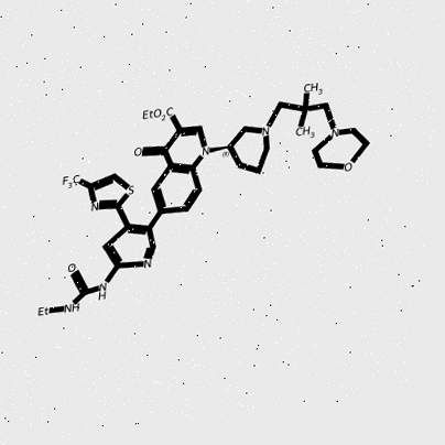 CCNC(=O)Nc1cc(-c2nc(C(F)(F)F)cs2)c(-c2ccc3c(c2)c(=O)c(C(=O)OCC)cn3[C@@H]2CCCN(CC(C)(C)CN3CCOCC3)C2)cn1